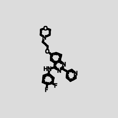 Fc1ccc(Nc2nc(-c3cccnc3)nc3ccc(OCCN4CCOCC4)cc23)cc1F